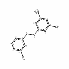 Nc1cc(O)nc(SCc2cccc(F)c2)n1